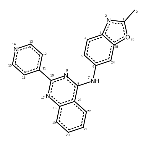 Cc1nc2ccc(Nc3nc(-c4ccncc4)nc4ccccc34)cc2o1